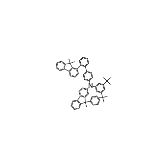 CC(C)(C)c1cc(N(c2ccc(-c3ccccc3-c3cccc4c3C(C)(C)c3ccccc3-4)cc2)c2ccc3c(c2)C(C)(c2ccccc2)c2ccccc2-3)cc(C(C)(C)C)c1